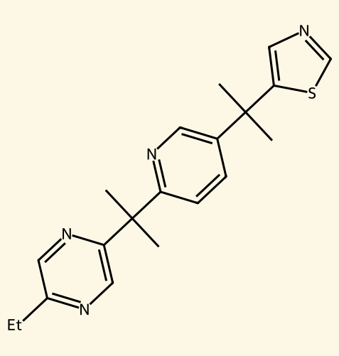 CCc1cnc(C(C)(C)c2ccc(C(C)(C)c3cncs3)cn2)cn1